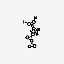 N#Cc1ccc2c(c1)c1cc(C#N)ccc1n2-c1ccc2c(c1)Oc1cc(-n3c4ccccc4c4cc(-n5c6ccccc6c6ccncc65)ccc43)ccc1C21c2cccnc2-c2ncccc21